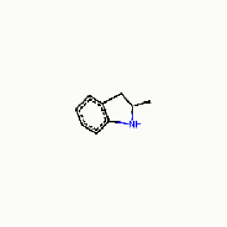 C[C@@H]1Cc2ccccc2N1